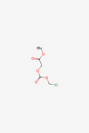 CC(C)(C)OC(=O)COC(=O)OCCl